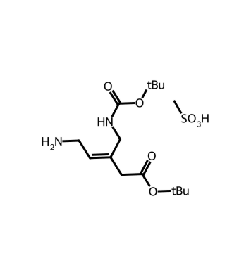 CC(C)(C)OC(=O)CC(=CCN)CNC(=O)OC(C)(C)C.CS(=O)(=O)O